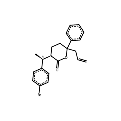 C=CCC1(c2ccccc2)CCN([C@H](C)c2ccc(Br)cc2)C(=O)O1